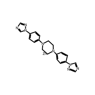 [Zn].c1ncn(-c2ccc(N3CCN(c4ccc(-n5cncn5)cc4)CC3)cc2)n1